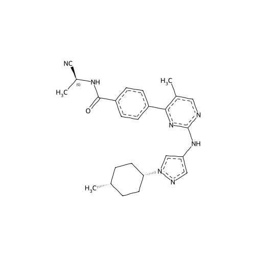 Cc1cnc(Nc2cnn([C@H]3CC[C@@H](C)CC3)c2)nc1-c1ccc(C(=O)N[C@@H](C)C#N)cc1